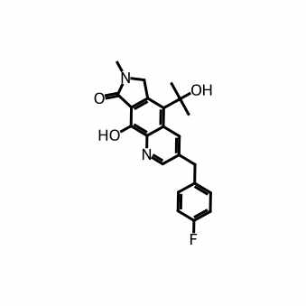 CN1Cc2c(c(O)c3ncc(Cc4ccc(F)cc4)cc3c2C(C)(C)O)C1=O